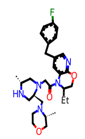 CCC1COc2ncc(Cc3ccc(F)cc3)cc2N1C(=O)CN1C[C@@H](C)NC[C@@H]1CN1CCOC[C@H]1C